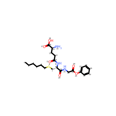 CCCCCCSC[C@H](NC(=O)CC[C@H](N)C(=O)O)C(=O)NCC(=O)Oc1ccccc1